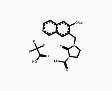 COc1cc2ccncc2cc1CN1CC[C@@H](C(N)=O)C1=O.O=C(O)C(F)(F)F